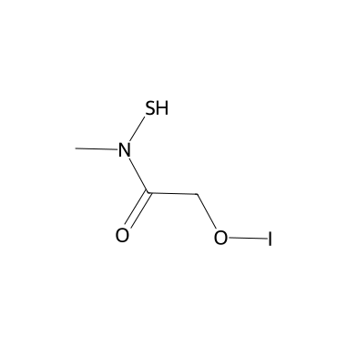 CN(S)C(=O)COI